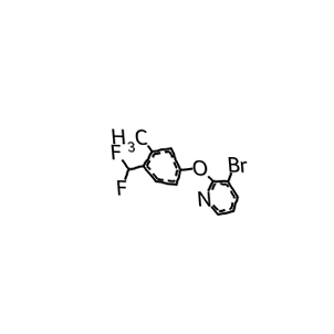 Cc1cc(Oc2ncccc2Br)ccc1C(F)F